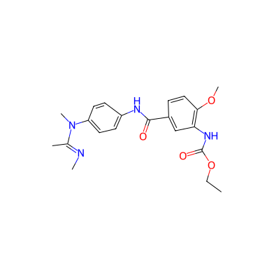 CCOC(=O)Nc1cc(C(=O)Nc2ccc(N(C)C(C)=NC)cc2)ccc1OC